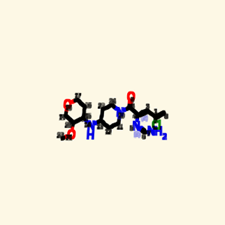 C=C(Cl)/C=C(\N=C/N)C(=O)N1CCC(N[C@@H]2CCOC[C@@H]2OC)CC1